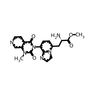 COC(=O)[C@@H](N)Cc1ccc(-n2c(=O)c3ccncc3n(C)c2=O)c2nccn12